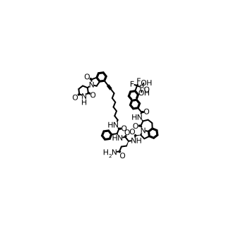 NC(=O)CC[C@H](NC(=O)[C@@H]1Cc2cccc3c2N1C(=O)[C@@H](NC(=O)c1ccc2ccc(C(F)(F)P(=O)(O)O)cc2c1)CC3)C(=O)N[C@H](C(=O)NCCCCCCCC#Cc1cccc2c1CN(C1CCC(=O)NC1=O)C2=O)c1ccccc1